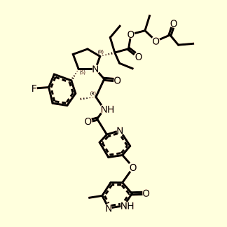 CCC(=O)OC(C)OC(=O)C(CC)(CC)[C@H]1CC[C@@H](c2cccc(F)c2)N1C(=O)[C@@H](C)NC(=O)c1ccc(Oc2cc(C)n[nH]c2=O)cn1